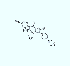 N#Cc1ccc2c3c([nH]c2c1)C1(CCOCC1)c1cc(N2CCC(N4CCOCC4)CC2)c(Br)cc1C3=O